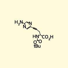 CC(C)(C)OC(=O)N[C@@H](CC#Cc1cnc(N)cn1)C(=O)O